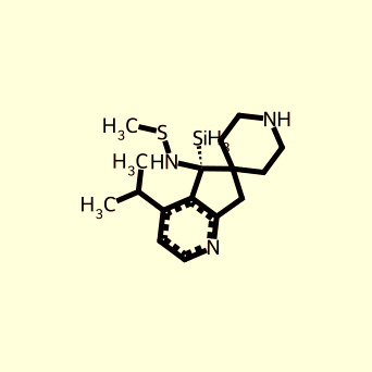 CSN[C@]1([SiH3])c2c(C(C)C)ccnc2CC12CCNCC2